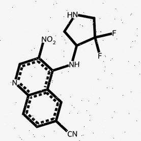 N#Cc1ccc2ncc([N+](=O)[O-])c(NC3CNCC3(F)F)c2c1